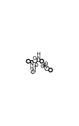 O=C1Nc2ccc(S(=O)(=O)N3CCc4ccccc4C3)cc2C1=C(OCCN1CCCC1)c1cc2ccccc2[nH]1